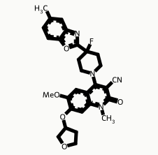 COc1cc2c(N3CCC(F)(c4nc5cc(C)ccc5o4)CC3)c(C#N)c(=O)n(C)c2cc1OC1CCOC1